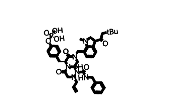 C=CCN1CC(=O)N2[C@@H](Cc3ccc(OP(=O)(O)O)cc3)C(=O)N(Cc3cccc4c3N(C)CC4C(=O)CC(C)(C)C)C[C@@H]2N1C(=O)NCc1ccccc1